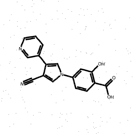 N#Cc1cn(-c2ccc(C(=O)O)c(O)c2)cc1-c1cccnc1